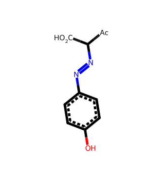 CC(=O)C(N=Nc1ccc(O)cc1)C(=O)O